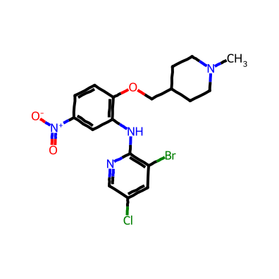 CN1CCC(COc2ccc([N+](=O)[O-])cc2Nc2ncc(Cl)cc2Br)CC1